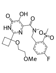 COCCOC1(c2nc(C(=O)N(C)Cc3ccc(F)cc3S(C)(=O)=O)c(O)c(=O)[nH]2)CCC1